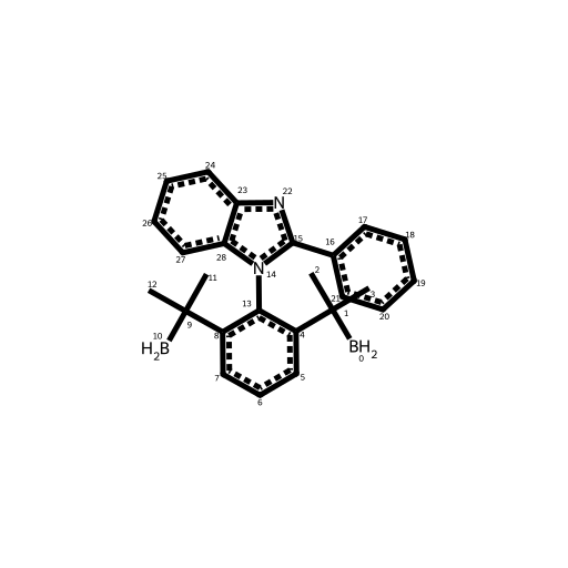 BC(C)(C)c1cccc(C(B)(C)C)c1-n1c(-c2ccccc2)nc2ccccc21